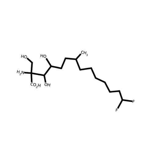 CC(CCCCCCC(F)F)CCC(O)C(O)C(N)(CO)C(=O)O